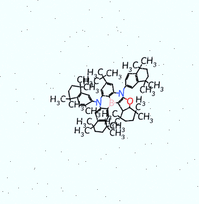 Cc1cc2c(cc1N1c3cc4c(cc3B3C5=C(OC6C5C(C)(C)CCC6(C)C)N(c5ccc6c(c5)C(C)(C)CCC6(C)C)c5cc(C(C)(C)C)cc1c53)C(C)(C)CCC4(C)C)C(C)(C)CCC2(C)C